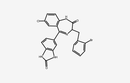 O=C1Nc2ccc(Cl)cc2C(c2ccc3[nH]c(=O)[nH]c3c2)=NC1Cc1ccccc1Br